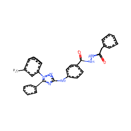 O=C(NNC(=O)c1ccc(Nc2nc(-c3ccccc3)n(-c3cccc(C(F)(F)F)c3)n2)cc1)c1ccccc1